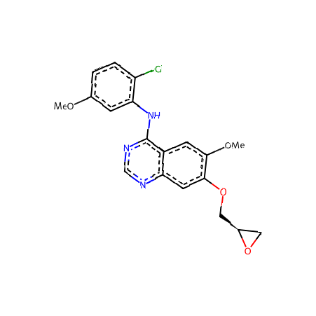 COc1ccc(Cl)c(Nc2ncnc3cc(OC[C@H]4CO4)c(OC)cc23)c1